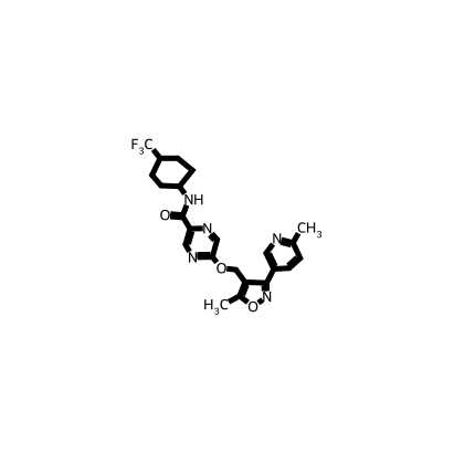 Cc1ccc(-c2noc(C)c2COc2cnc(C(=O)NC3CCC(C(F)(F)F)CC3)cn2)cn1